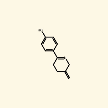 C=C1CCC(c2ccc(O)cc2)=NC1